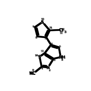 N#Cc1nc2[nH]cc(-c3ccsc3C(F)(F)F)c2s1